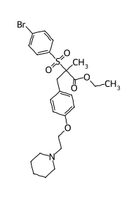 CCOC(=O)C(C)(Cc1ccc(OCCN2CCCCC2)cc1)S(=O)(=O)c1ccc(Br)cc1